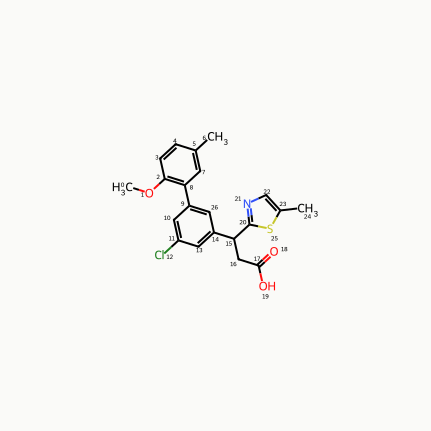 COc1ccc(C)cc1-c1cc(Cl)cc(C(CC(=O)O)c2ncc(C)s2)c1